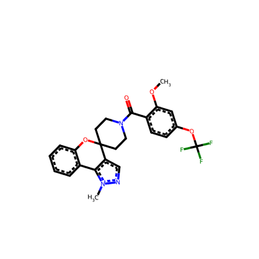 COc1cc(OC(F)(F)F)ccc1C(=O)N1CCC2(CC1)Oc1ccccc1-c1c2cnn1C